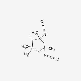 CC1(N=C=O)CC(C)(C)C(I)C(C)(N=C=O)C1